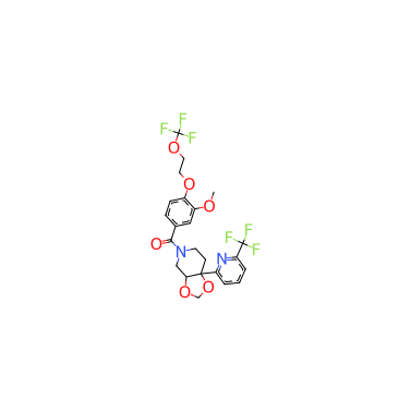 COc1cc(C(=O)N2CCC3(c4cccc(C(F)(F)F)n4)OCOC3C2)ccc1OCCOC(F)(F)F